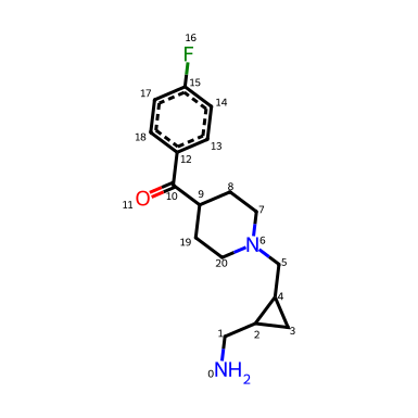 NCC1CC1CN1CCC(C(=O)c2ccc(F)cc2)CC1